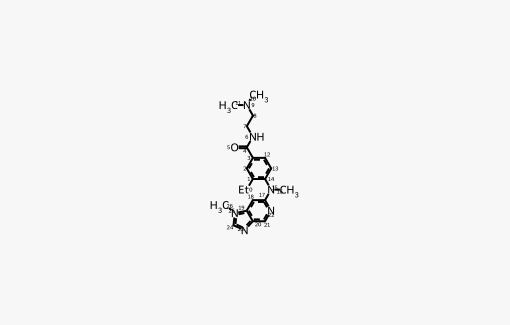 CCc1cc(C(=O)NCCN(C)C)ccc1N(C)c1cc2c(cn1)ncn2C